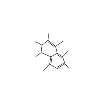 CC1=C(C)C(C)C(C)c2c(C)cc(C)c(C)c21